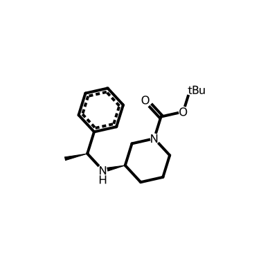 C[C@H](N[C@@H]1CCCN(C(=O)OC(C)(C)C)C1)c1ccccc1